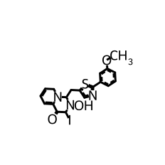 COc1cccc(-c2ncc(CC3N4CC=CC=C4C(=O)C(I)N3O)s2)c1